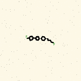 FCCCC=C[C@H]1CC[C@H](c2ccc(-c3ccc(CF)cc3)cc2)CC1